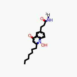 [2H]NC(=O)CCc1ccc2c(c1)c(=O)cc(CCCCCCC)n2O